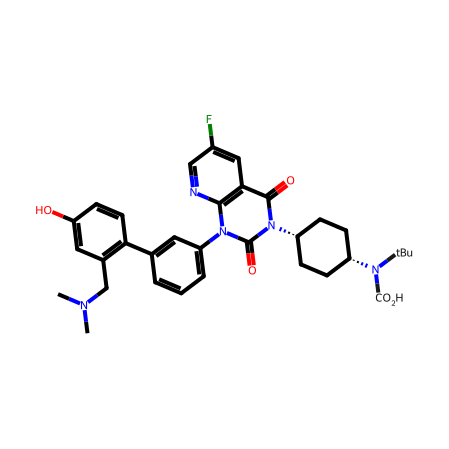 CN(C)Cc1cc(O)ccc1-c1cccc(-n2c(=O)n([C@H]3CC[C@@H](N(C(=O)O)C(C)(C)C)CC3)c(=O)c3cc(F)cnc32)c1